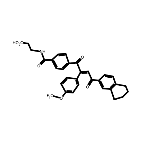 O=C(O)CCNC(=O)c1ccc(C(=O)C(=CC(=O)c2ccc3c(c2)CCCC3)c2ccc(OC(F)(F)F)cc2)cc1